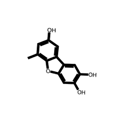 Cc1cc(O)cc2c1oc1cc(O)c(O)cc12